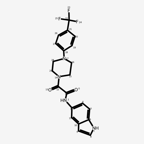 O=C(Nc1ccc2[nH]ccc2c1)C(=O)N1CCN(c2ccc(C(F)(F)F)cc2)CC1